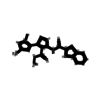 Cn1nc(C(F)(F)F)cc1-c1csc(NC(=O)c2cc3ccccc3o2)c1C(=O)OC(C)(C)C